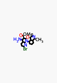 COC(=O)c1c(N)c2ccc(Br)nc2n(-c2cccc3c(C)nccc23)c1=O